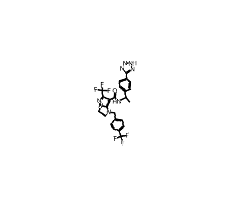 CC(NC(=O)c1c(C(F)(F)F)nn2c1N(Cc1ccc(C(F)(F)F)cc1)CC2)c1ccc(-c2nn[nH]n2)cc1